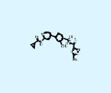 Cc1cc(-c2ccnc(NC(=O)C3CC3)c2)ccc1[C@@H](C)NC(=O)c1noc(C(C)(C)C)n1